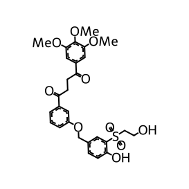 COc1cc(C(=O)CCC(=O)c2cccc(OCc3ccc(O)c(S(=O)(=O)CCO)c3)c2)cc(OC)c1OC